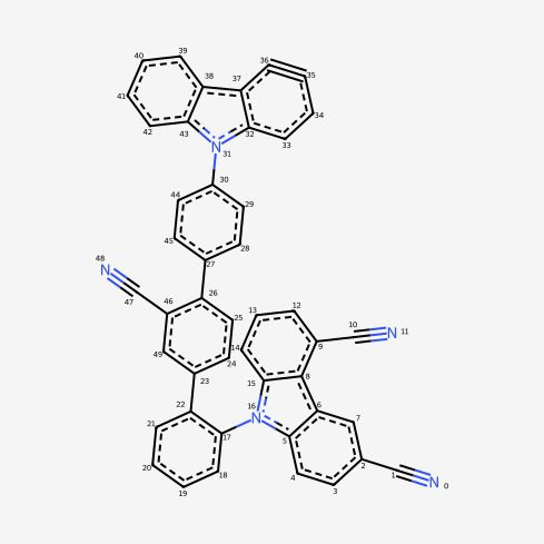 N#Cc1ccc2c(c1)c1c(C#N)cccc1n2-c1ccccc1-c1ccc(-c2ccc(-n3c4ccc#cc4c4ccccc43)cc2)c(C#N)c1